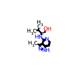 Cc1n[nH]c2ccnc(N[C@H](CO)C(C)C)c12